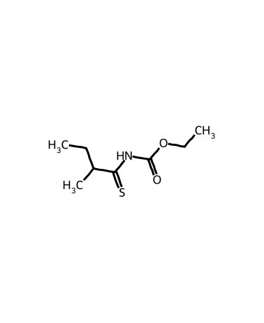 CCOC(=O)NC(=S)C(C)CC